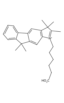 CC1=[N+](CCCCCC(=O)O)c2cc3c(cc2C1(C)C)-c1ccccc1C3(C)C